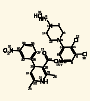 CCCN1CCN(c2cccc(Cl)c2Cl)CC1.COC(=O)C1=C(C)NC(C)=CC1c1cccc([N+](=O)[O-])c1.Cl